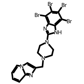 Brc1c(Br)c(Br)c2[nH]c(N3CCN(Cc4cn5ccccc5n4)CC3)nc2c1Br